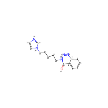 O=c1c2ccccc2nnn1CCCCCn1ccnc1